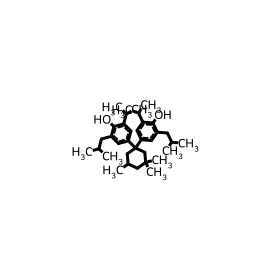 CC(C)Cc1cc(C2(c3cc(CC(C)C)c(O)c(C(C)C)c3)CC(C)CC(C)(C)C2)cc(C(C)C)c1O